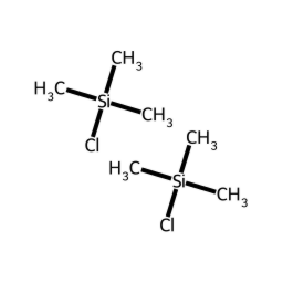 C[Si](C)(C)Cl.C[Si](C)(C)Cl